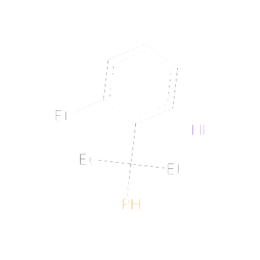 CCc1ccccc1C(P)(CC)CC.I